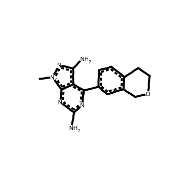 Cn1nc(N)c2c(-c3ccc4c(c3)COCC4)nc(N)nc21